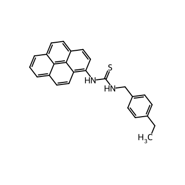 CCc1ccc(CNC(=S)Nc2ccc3ccc4cccc5ccc2c3c45)cc1